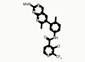 CNc1ncc2cc(-c3cc(NC(=O)c4ccnc(C(F)(F)F)c4Cl)ccc3C)c(C)nc2n1